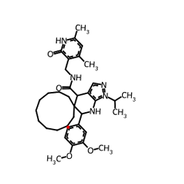 COc1ccc(C2Nc3c(cnn3C(C)C)C(C(=O)NCc3c(C)cc(C)[nH]c3=O)C23CCCCCCCCCC3)cc1OC